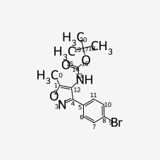 Cc1onc(-c2ccc(Br)cc2)c1NC(=O)OC(C)(C)C